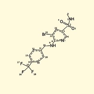 CNS(=O)(=O)c1cnc(NCc2ccc(C(F)(F)F)cc2)c(Br)c1